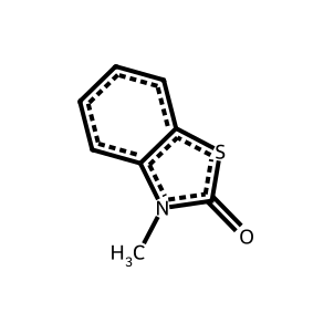 Cn1c(=O)sc2ccccc21